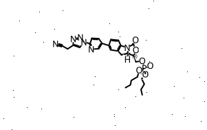 CCCCOP(=O)(OCCCC)OC[C@@H]1OC(=O)N2c3ccc(-c4ccc(-n5cc(CC#N)nn5)nc4)cc3C[C@@H]12